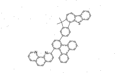 CC1(C)c2cc(-c3ccc(-c4ccc5ccc6cccnc6c5n4)c4c5ccccc5c5ccccc5c34)ccc2-c2c1ccc1c2sc2ccccc21